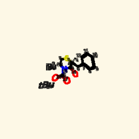 CC[C@H](C)[C@H]1CS[C@@](C)(Cc2ccccc2)C(=O)N1C(=O)OC(C)(C)C